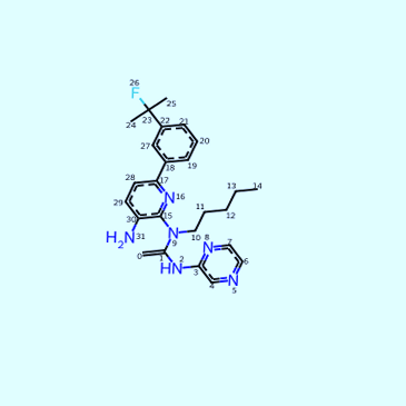 C=C(Nc1cnccn1)N(CCCCC)c1nc(-c2cccc(C(C)(C)F)c2)ccc1N